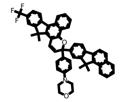 CC1(C)c2cc(C(F)(F)F)ccc2-c2c1c1c(c3ccccc23)OC(c2ccc(N3CCOCC3)cc2)(c2ccc3c(c2)C(C)(C)c2c-3ccc3ccccc23)C=C1